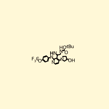 CC(C)(C)OC(=O)NCC(=N)c1c(N2CC[C@@H](O)C2)ccnc1Nc1ccc(OC(F)(F)F)cc1